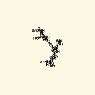 CCCNC(=O)C(CSC1CC(=O)N(CCC(=O)NC(CCCCNC(=O)OC(C)(C)C)C(=O)NCCOCCOCCC(=O)NC(CCCCNC(=O)OC(C)(C)C)C(=O)NCCO)C1=O)NC(C)=O